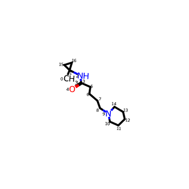 CC1(NC(=O)CCCCN2CCCCC2)CC1